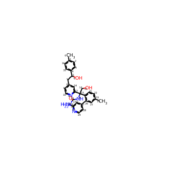 Cc1ccc(C(O)Cc2ccnc(C(CO)(NC(N)=O)c3ccc(C)cc3-c3ccnc(N)c3)c2)cc1